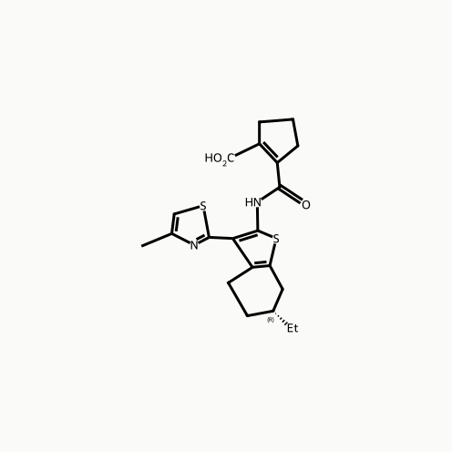 CC[C@@H]1CCc2c(sc(NC(=O)C3=C(C(=O)O)CCC3)c2-c2nc(C)cs2)C1